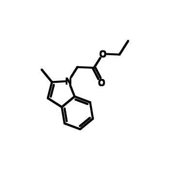 CCOC(=O)Cn1c(C)cc2ccccc21